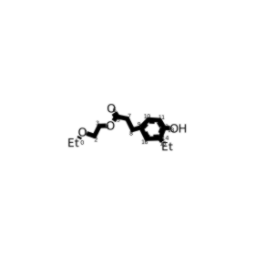 CCOCCOC(=O)CCc1ccc(O)c(CC)c1